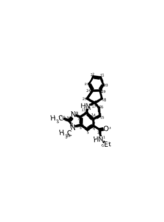 CCNC(=O)c1cc2c(nc(C)n2C)c2c1CCC1(Cc3ccccc3C1)N2